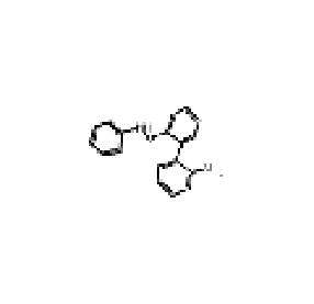 Nc1ccccc1-c1ccccc1ONc1ccccc1